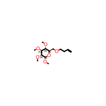 C=CCCOC[C@H]1O[C@H](OC)[C@H](OC)[C@@H](OC)[C@@H]1OC